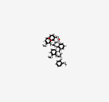 COc1ccccc1OP(OCc1cccc(OC)c1OP(Oc1ccccc1OC)Oc1ccccc1OC)Oc1ccccc1OC